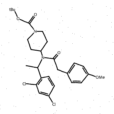 COc1ccc(CC(=O)N(C2CCN(C(=O)OC(C)(C)C)CC2)C(C)c2ccc(Cl)cc2Cl)cc1